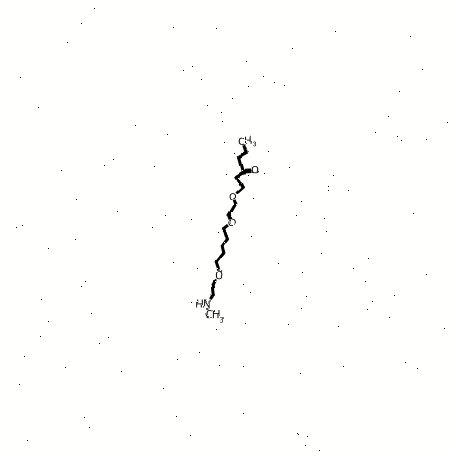 CCCC(=O)CCOCCOCCCCCOCCNC